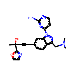 CN(C)Cc1nn(-c2ccnc(N)n2)c2cc(C#CC(C)(O)c3ncco3)ccc12